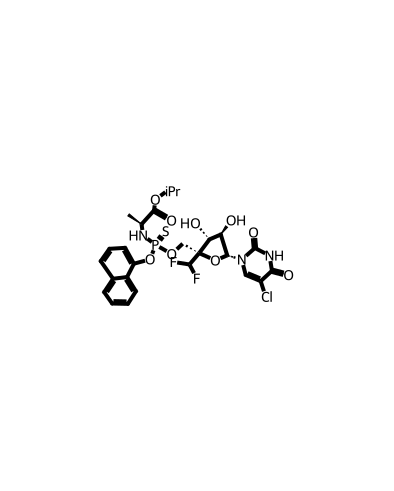 CC(C)OC(=O)[C@H](C)NP(=S)(OC[C@@]1(C(F)F)O[C@@H](n2cc(Cl)c(=O)[nH]c2=O)[C@H](O)[C@H]1O)Oc1cccc2ccccc12